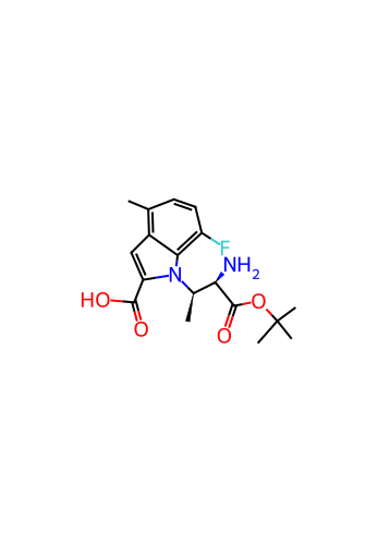 Cc1ccc(F)c2c1cc(C(=O)O)n2[C@H](C)[C@@H](N)C(=O)OC(C)(C)C